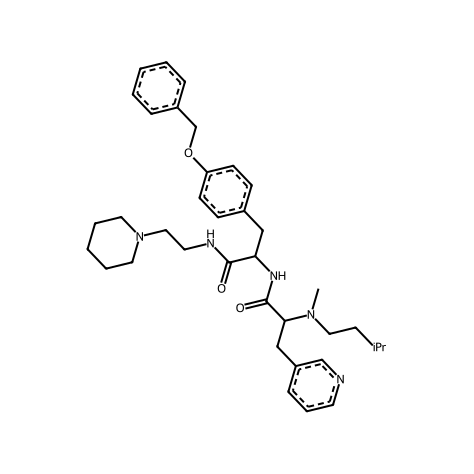 CC(C)CCN(C)C(Cc1cccnc1)C(=O)NC(Cc1ccc(OCc2ccccc2)cc1)C(=O)NCCN1CCCCC1